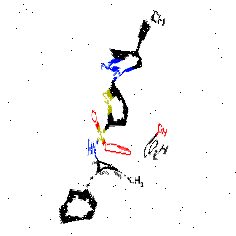 C#Cc1cnn(-c2ccc(S(=O)(=O)N[C@H]3[C@H](C)[C@@H]3c3ccccc3)s2)c1.O=C(O)O